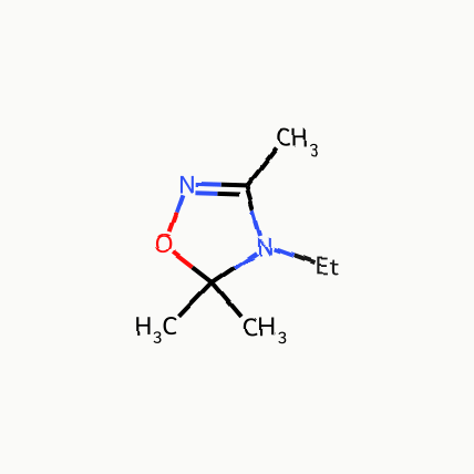 CCN1C(C)=NOC1(C)C